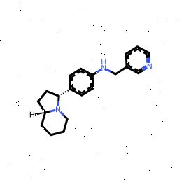 c1cncc(CNc2ccc([C@H]3CC[C@H]4CCCCN43)cc2)c1